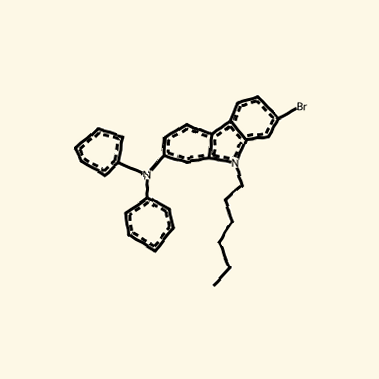 CCCCCCn1c2cc(Br)ccc2c2ccc(N(c3ccccc3)c3ccccc3)cc21